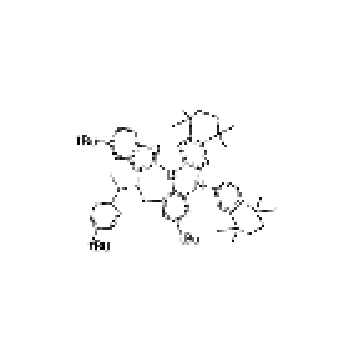 CC(C1C=CC(C(C)(C)C)=CC1)C1Cc2cc(C(C)(C)C)cc3c2B(c2cc4c(cc2N3c2ccc3c(c2)C(C)(C)CCC3(C)C)C(C)(C)CCC4(C)C)c2oc3ccc(C(C)(C)C)cc3c21